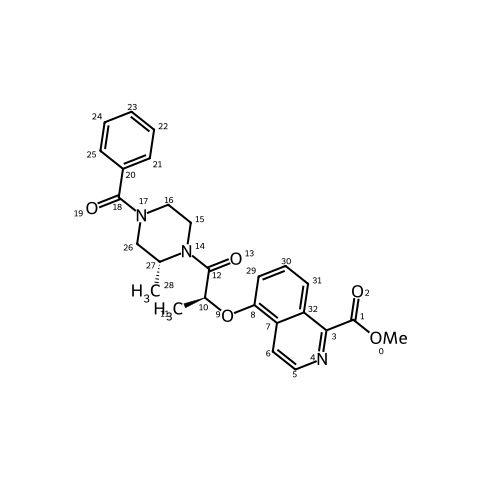 COC(=O)c1nccc2c(O[C@@H](C)C(=O)N3CCN(C(=O)c4ccccc4)C[C@H]3C)cccc12